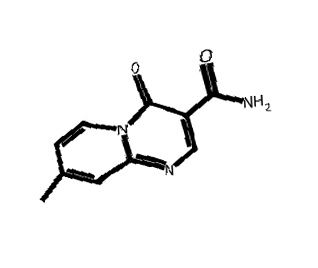 Cc1ccn2c(=O)c(C(N)=O)cnc2c1